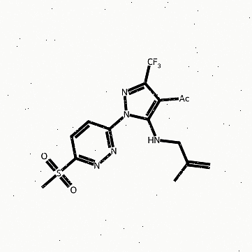 C=C(C)CNc1c(C(C)=O)c(C(F)(F)F)nn1-c1ccc(S(C)(=O)=O)nn1